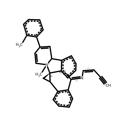 C#C/C=C\N=C(/C)c1ccccc1C1C[C@@]12c1ccccc1C1C=C(c3ccccc3C)C=C[N+]12C